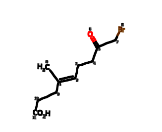 C/C(=C\CCC(=O)CBr)CCC(=O)O